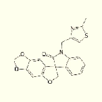 Cc1nc(CN2C(=O)C3(COc4cc5c(cc43)OCO5)c3ccccc32)cs1